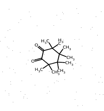 CC1(C)C(=O)C(=O)C(C)(C)C(C)(C)C1(C)C